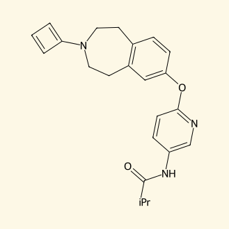 CC(C)C(=O)Nc1ccc(Oc2ccc3c(c2)CCN(C2=CC=C2)CC3)nc1